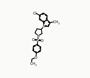 CCOc1ccc(S(=O)(=O)N2CCC(n3cc(C)c4ccc(Cl)cc43)C2)cc1